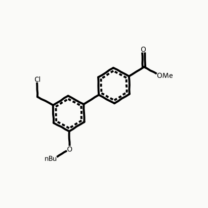 CCCCOc1cc(CCl)cc(-c2ccc(C(=O)OC)cc2)c1